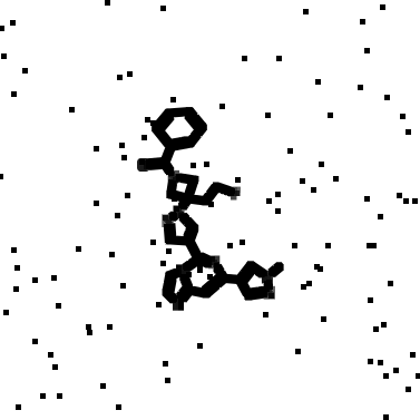 Cn1cc(-c2cc3nccn3c(-c3cnn(C4(CCF)CN(C(=O)c5ccccc5)C4)c3)n2)cn1